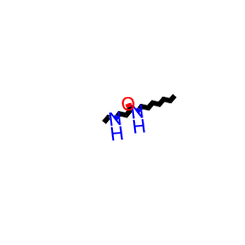 CCCCCCCNC(=O)CCNCC